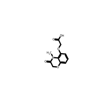 CN1C(=O)COc2cccc(OCC(=O)O)c21